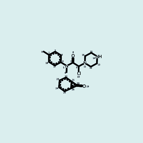 Cc1ccc(N(C)C(=O)C(Cl)N2CCNCC2)cc1.O=c1c2ccccc12